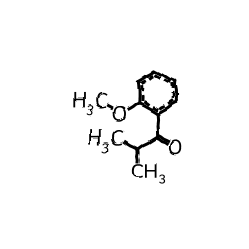 COc1ccccc1C(=O)C(C)C